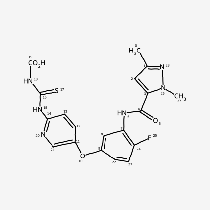 Cc1cc(C(=O)Nc2cc(Oc3ccc(NC(=S)NC(=O)O)nc3)ccc2F)n(C)n1